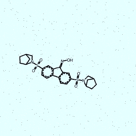 O=S(=O)(c1ccc2c(c1)C(=NO)c1cc(S(=O)(=O)N3CC4CCC3C4)ccc1-2)N1CC2CCC1C2